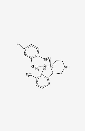 C[N@@+]1(Nc2ccc(Cl)nc2Cl)c2c(cccc2C(F)(F)F)C2CNCC[C@H]21